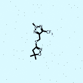 Cn1nc(CSC2=NOC(C)(C)C2)c(C(F)(F)F)n1